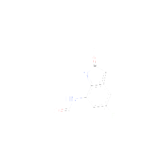 O=CNc1cc(F)cc2c1=NC(=O)C=2